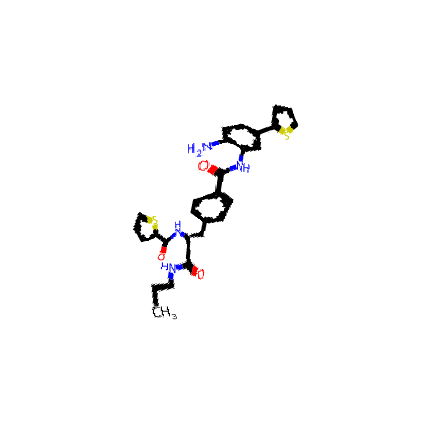 CCCNC(=O)[C@H](Cc1ccc(C(=O)Nc2cc(-c3cccs3)ccc2N)cc1)NC(=O)c1cccs1